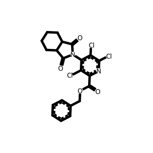 O=C(OCc1ccccc1)c1nc(Cl)c(Cl)c(N2C(=O)C3CCCCC3C2=O)c1Cl